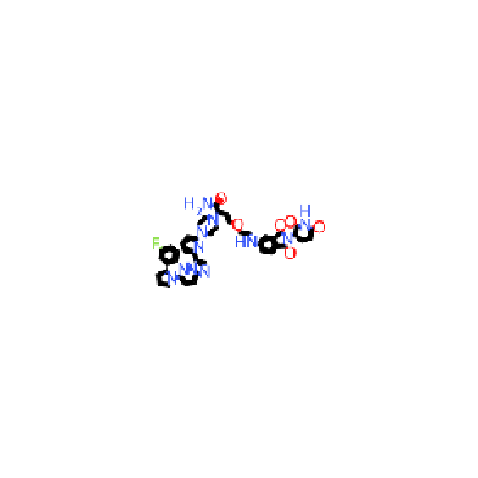 NC(=O)C(CCOCCNc1ccc2c(c1)C(=O)N(C1CCC(=O)NC1=O)C2=O)N1CCN(c2cccc(-c3cnc4ccc(N5CCC[C@@H]5c5cccc(F)c5)nn34)n2)CC1